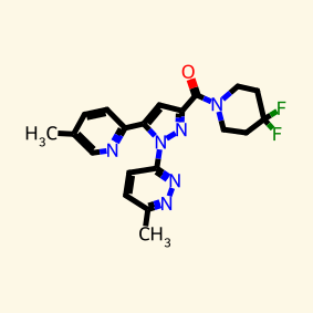 Cc1ccc(-c2cc(C(=O)N3CCC(F)(F)CC3)nn2-c2ccc(C)nn2)nc1